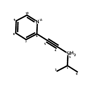 CC(C)[SiH2]C#Cc1ccccn1